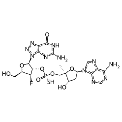 C[C@]1(COP(=O)(S)O[C@@H]2[C@@H](F)[C@@H](CO)O[C@H]2n2nnc3c(=O)[nH]c(N)nc32)O[C@@H](n2cnc3c(N)ncnc32)C[C@@H]1O